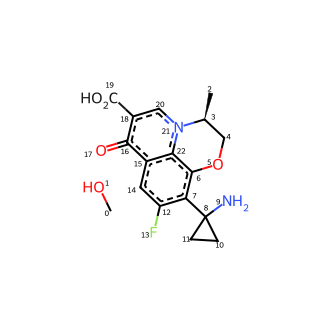 CO.C[C@H]1COc2c(C3(N)CC3)c(F)cc3c(=O)c(C(=O)O)cn1c23